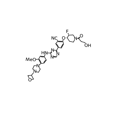 COc1cc(Nc2ncnc(-c3ccc(O[C@H]4CCN(C(=O)CCO)C[C@@H]4F)c(C#N)c3)n2)ccc1N1CCN(C2COC2)CC1